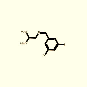 COC(C/N=C\c1cc(Br)cc(Br)c1)OC